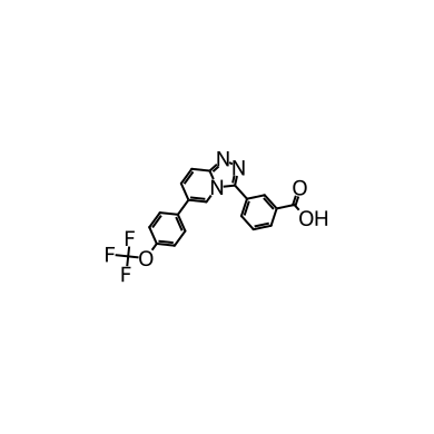 O=C(O)c1cccc(-c2nnc3ccc(-c4ccc(OC(F)(F)F)cc4)cn23)c1